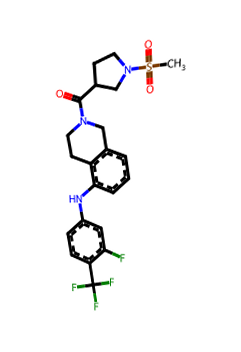 CS(=O)(=O)N1CCC(C(=O)N2CCc3c(cccc3Nc3ccc(C(F)(F)F)c(F)c3)C2)C1